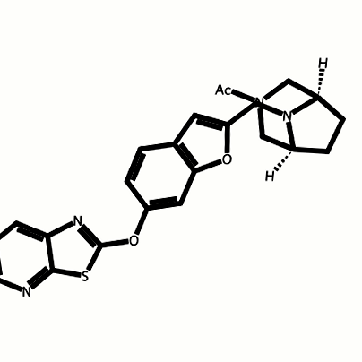 CC(=O)N1C[C@H]2CC[C@@H](C1)N2Cc1cc2ccc(Oc3nc4cccnc4s3)cc2o1